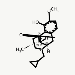 COc1ccc2c(c1O)[C@]13CCN(CC4CC4)[C@H](C2)[C@@H]1C[C@H](C)C(=O)C3